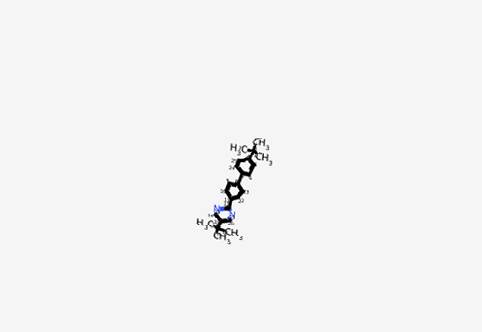 CC(C)(C)c1ccc(-c2ccc(-c3ncc(C(C)(C)C)cn3)cc2)cc1